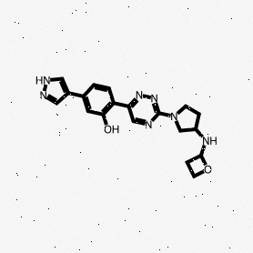 Oc1cc(-c2cn[nH]c2)ccc1-c1cnc(N2CCC(NC3CCO3)C2)nn1